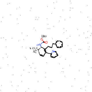 CC(C)(C)OC(=O)N[C@H]1C(CCCc2ccccc2)=C(c2ccccn2)C=C[C@@]1(C#N)C(=O)O